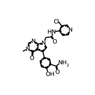 Cn1cnc2c(c(-c3ccc(O)c(C(N)=O)c3)cn2CC(=O)Nc2ccncc2Cl)c1=O